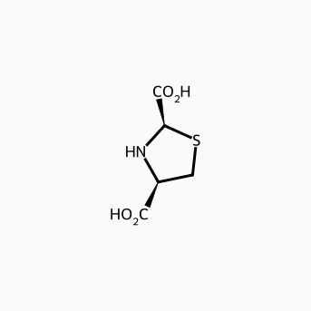 O=C(O)[C@@H]1CS[C@H](C(=O)O)N1